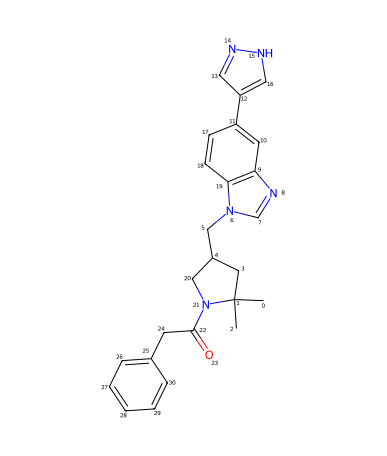 CC1(C)CC(Cn2cnc3cc(-c4cn[nH]c4)ccc32)CN1C(=O)Cc1ccccc1